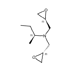 CC[C@H](C)N(C[C@H]1CO1)C[C@@H]1CO1